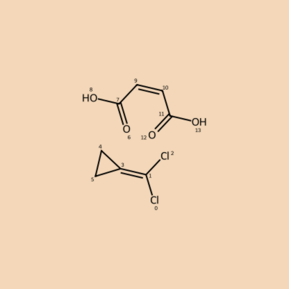 ClC(Cl)=C1CC1.O=C(O)/C=C\C(=O)O